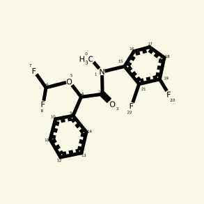 CN(C(=O)C(OC(F)F)c1ccccc1)c1cccc(F)c1F